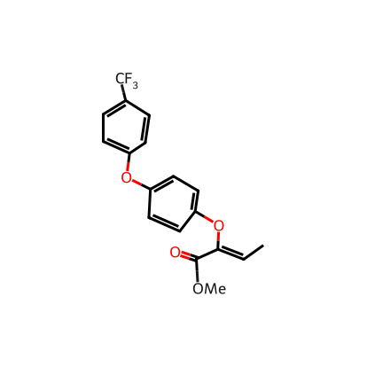 C/C=C(\Oc1ccc(Oc2ccc(C(F)(F)F)cc2)cc1)C(=O)OC